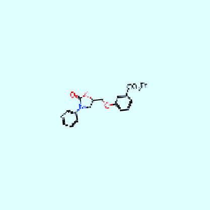 CCOC(=O)c1cccc(OCC2CN(c3ccccc3)C(=O)O2)c1